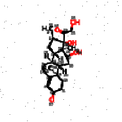 C[C@@H]1C[C@H]2[C@@H]3CCC4=CC(=O)CC[C@]4(C)[C@H]3C[C@H](O)[C@]2(C)[C@@]1(O)C(=O)CO